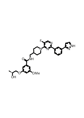 COc1cc(OC[C@H](C)O)cc(C(=O)NCC2CCN(c3nc(-c4cccc(-c5cc[nH]n5)c4)ncc3F)CC2)c1